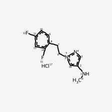 CNc1cnn(CCc2ccc(F)cc2F)c1.Cl